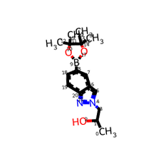 CC(O)Cn1cc2cc(B3OC(C)(C)C(C)(C)O3)ccc2n1